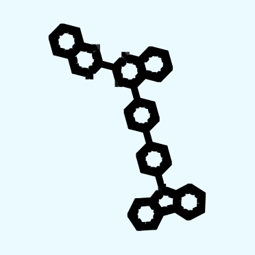 c1ccc2nc(-c3nc(-c4ccc(-c5ccc(-n6c7ccccc7c7ccccc76)cc5)cc4)c4ccccc4n3)ncc2c1